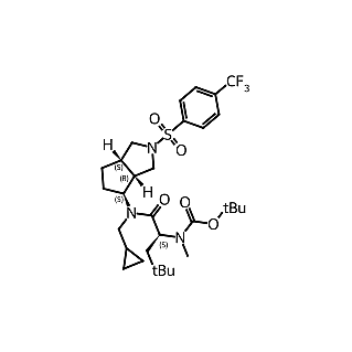 CN(C(=O)OC(C)(C)C)[C@@H](CC(C)(C)C)C(=O)N(CC1CC1)[C@H]1CC[C@@H]2CN(S(=O)(=O)c3ccc(C(F)(F)F)cc3)C[C@@H]21